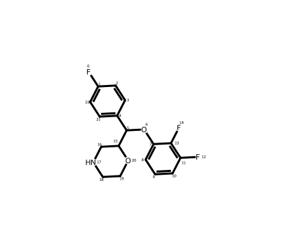 Fc1ccc(C(Oc2cccc(F)c2F)C2CNCCO2)cc1